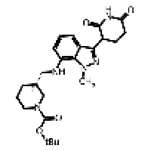 Cn1nc(C2CCC(=O)NC2=O)c2cccc(NC[C@H]3CCCN(C(=O)OC(C)(C)C)C3)c21